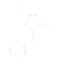 CCOC(=O)c1cc(N)cn1C(C)c1ccccc1